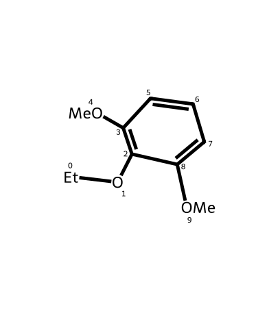 CCOc1c(OC)cccc1OC